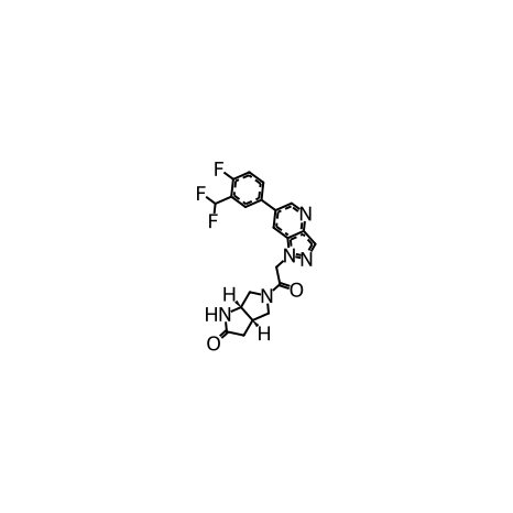 O=C1C[C@H]2CN(C(=O)Cn3ncc4ncc(-c5ccc(F)c(C(F)F)c5)cc43)C[C@H]2N1